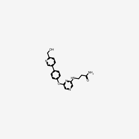 NC(=O)CCNc1cncc(Oc2ccc(-c3ccc(CO)nc3)cc2)n1